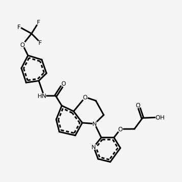 O=C(O)COc1cccnc1N1CCOc2c(C(=O)Nc3ccc(OC(F)(F)F)cc3)cccc21